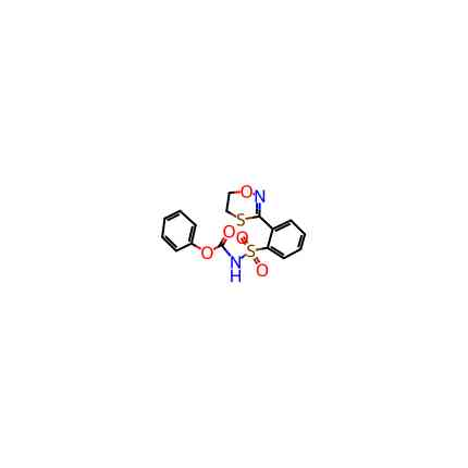 O=C(NS(=O)(=O)c1ccccc1C1=NOCCS1)Oc1ccccc1